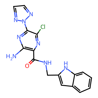 Nc1nc(-n2nccn2)c(Cl)nc1C(=O)NCc1cc2ccccc2[nH]1